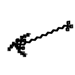 [N-]=[N+]=NS(=O)(=O)C(CCCCCCCCCCCCCCCCC(Cl)(Cl)Cl)(S(=O)(=O)N=[N+]=[N-])S(=O)(=O)N=[N+]=[N-]